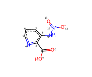 O=C(O)c1ncccc1N[N+](=O)[O-]